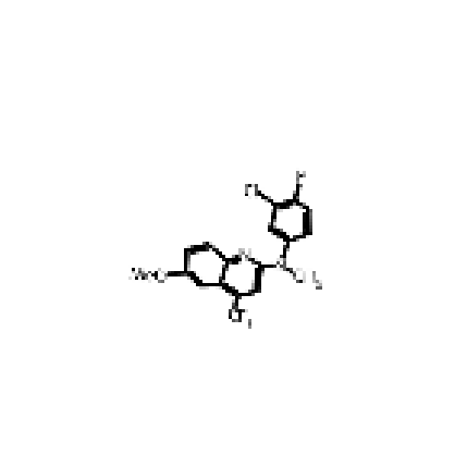 COc1ccc2nc(N(C)c3ccc(F)c(Cl)c3)cc(C(F)(F)F)c2c1